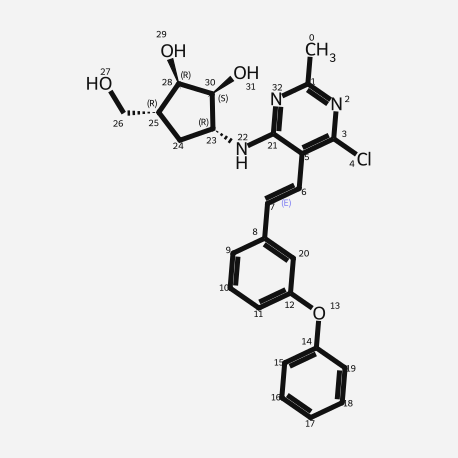 Cc1nc(Cl)c(/C=C/c2cccc(Oc3ccccc3)c2)c(N[C@@H]2C[C@H](CO)[C@@H](O)[C@H]2O)n1